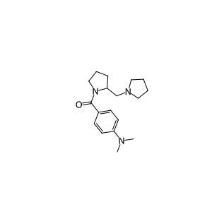 CN(C)c1ccc(C(=O)N2CCCC2CN2CCCC2)cc1